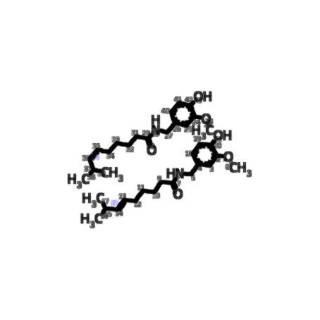 COc1cc(CNC(=O)CCCC/C=C/C(C)C)ccc1O.COc1cc(CNC(=O)CCCC/C=C\C(C)C)ccc1O